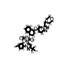 Cc1ccc(-n2nc(C(C)(C)C)cc2N(OC=O)C(=O)N[C@H]2CC[C@@H](Oc3ccc4nnc(CN5CCOCC5)n4c3)c3ccccc32)cc1